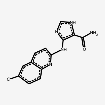 NC(=O)c1[nH]cnc1Nc1ccc2cc(Cl)ccc2n1